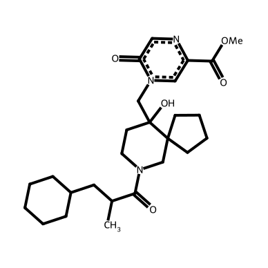 COC(=O)c1cn(CC2(O)CCN(C(=O)C(C)CC3CCCCC3)CC23CCCC3)c(=O)cn1